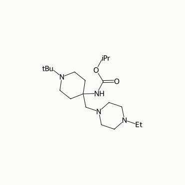 CCN1CCN(CC2(NC(=O)OC(C)C)CCN(C(C)(C)C)CC2)CC1